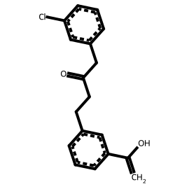 C=C(O)c1cccc(CCC(=O)Cc2cccc(Cl)c2)c1